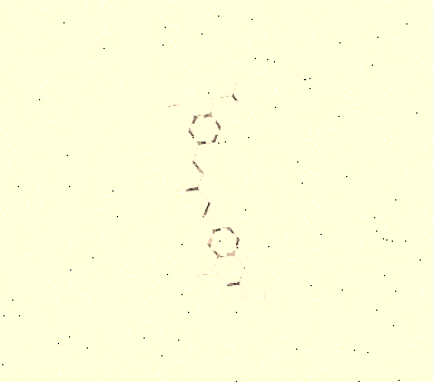 COc1cc(C=CC(=O)C=Cc2ccc(OC(C)=O)c(OC)c2)ccc1CC(=O)O